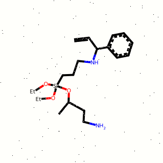 C=CC(NCCC[Si](OCC)(OCC)OC(C)CCN)c1ccccc1